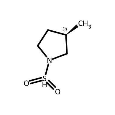 C[C@@H]1CCN([SH](=O)=O)C1